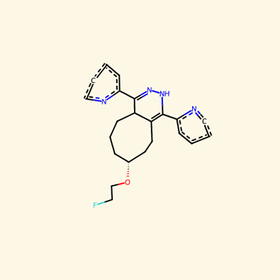 FCCO[C@@H]1CCCC2C(c3ccccn3)=NNC(c3ccccn3)=C2CC1